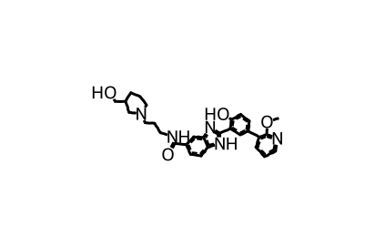 COc1ncccc1-c1ccc(O)c(-c2nc3cc(C(=O)NCCCN4CCCC(CO)C4)ccc3[nH]2)c1